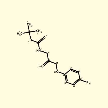 CC(C)(C)OC(=O)NCC(=O)COc1ccc(F)cc1